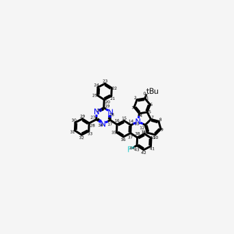 CC(C)(C)c1ccc2c(c1)c1ccccc1n2-c1cc(-c2nc(-c3ccccc3)nc(-c3ccccc3)n2)ccc1-c1ccccc1F